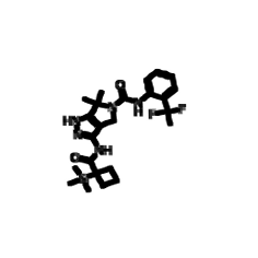 CC(F)(F)c1ccccc1NC(=O)N1Cc2c(NC(=O)C3([Si](C)(C)C)CCC3)n[nH]c2C1(C)C